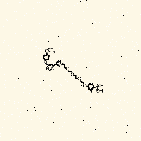 Cc1cc(OCCOCCOCCOCCn2cc(-c3cc(Nc4ccc(OC(F)(F)F)cc4)ncn3)cn2)ccc1B(O)O